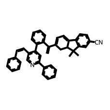 C=C(C1=CC=C2c3ccc(C#N)cc3C(C)(C)C2C1)c1ccccc1-c1cc(-c2ccccc2)ncc1/C=C\c1ccccc1